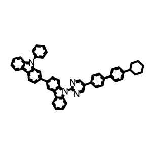 c1ccc(-n2c3ccccc3c3ccc(-c4ccc5c(c4)c4ccccc4n5-c4ncc(-c5ccc(-c6ccc(C7CCCCC7)cc6)cc5)cn4)cc32)cc1